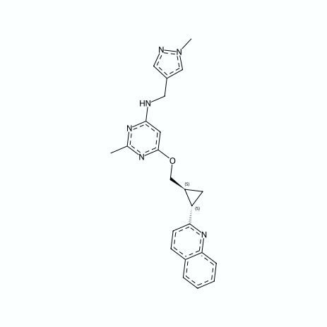 Cc1nc(NCc2cnn(C)c2)cc(OC[C@H]2C[C@@H]2c2ccc3ccccc3n2)n1